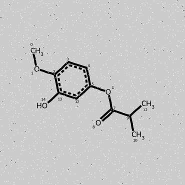 COc1ccc(OC(=O)C(C)C)cc1O